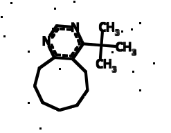 CC(C)(C)c1ncnc2c1CCCCCCC2